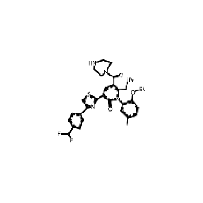 CCOc1ccc(C)cc1-n1c(CC(C)C)c(C(=O)N2CCNCC2)cc(-c2nc(-c3ccc(C(F)F)cc3)cs2)c1=O